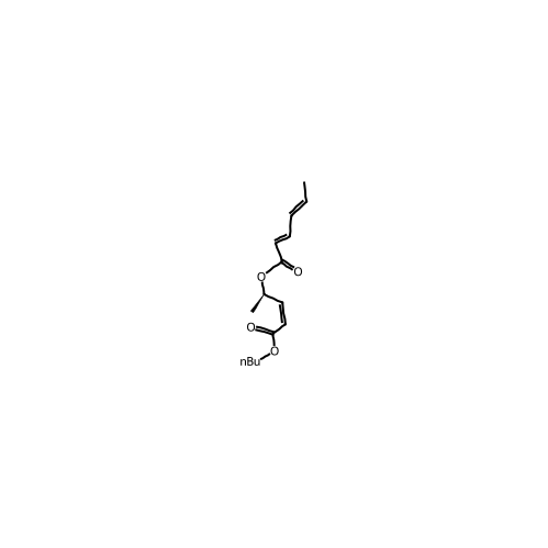 C/C=C/C=C/C(=O)O[C@H](C)/C=C\C(=O)OCCCC